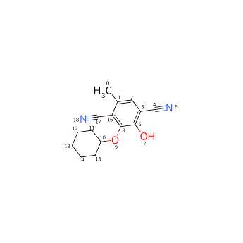 Cc1cc(C#N)c(O)c(OC2CCCCC2)c1C#N